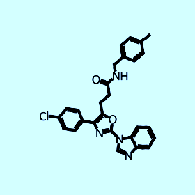 Cc1ccc(CNC(=O)CCc2oc(-n3cnc4ccccc43)nc2-c2ccc(Cl)cc2)cc1